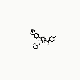 CC1CCC(Nc2ncc(-c3ccc(OC(C)C)cc3)c(OC[C@H]3CCCO3)n2)CC1